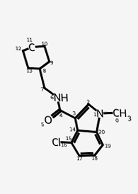 Cn1cc(C(=O)NCC2CCCCC2)c2c(Cl)cccc21